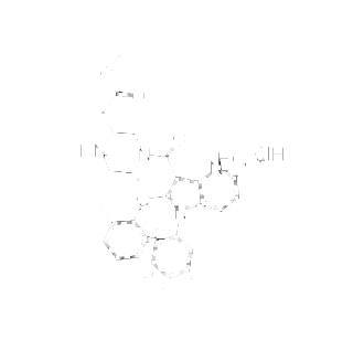 COC(=O)CC1CN(C(=O)c2c(Oc3c(C)cccc3C)n(-c3ccccc3)c3cccnc23)CCN1.Cl.Cl